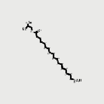 CCCCC(CC)COC(=O)CCCCCCCCCCCCCCCCCC(=O)O